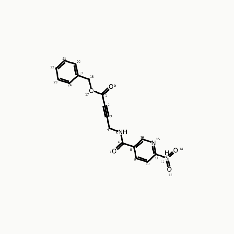 O=C(C#CCNC(=O)c1ccc([SH](=O)=O)nc1)OCc1ccccc1